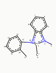 [CH2-][c+]1n(C)c2ccccc2n1-c1ccccc1C